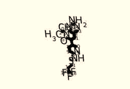 CC(C)n1c(=O)c(-c2ccc(NSCCC(F)(F)F)nc2)cc2cnc(N)nc21